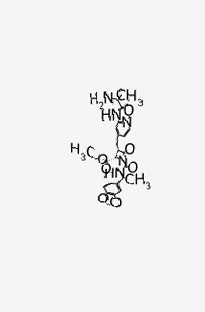 CCOC(=O)[C@@H]1[C@@H](Cc2ccnc(NC(=O)[C@H](C)N)c2)C(=O)N1C(=O)N[C@H](C)c1ccc2c(c1)OCO2